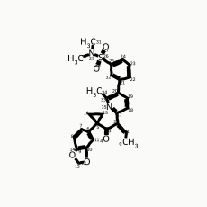 C/C=C(\C(=O)C1(c2ccc3c(c2)OCO3)CC1)c1ccc(-c2cccc(S(=O)(=O)N(C)C)c2)c(C)n1